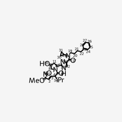 COc1cc(C(C(=O)N2C[C@H](O)C[C@H]2c2nc(C(=O)N(CCCCc3ccccc3)C3CC3)c[nH]2)C(C)C)on1